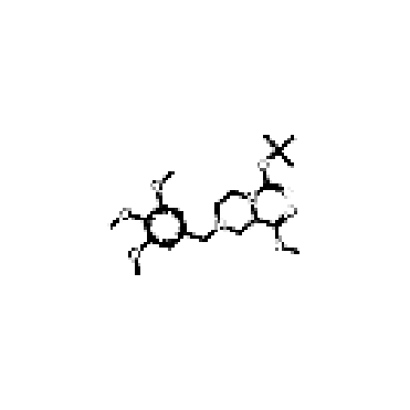 COC(=O)C1CN(Cc2cc(OC)c(OC)c(OC)c2)CCN1C(=O)OC(C)(C)C